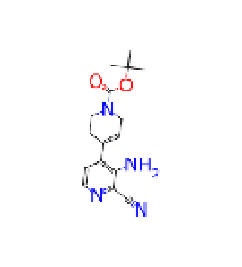 CC(C)(C)OC(=O)N1CC=C(c2ccnc(C#N)c2N)CC1